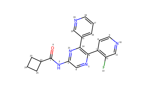 O=C(Nc1cnc(-c2ccncc2F)c(-c2cccnc2)n1)C1CCC1